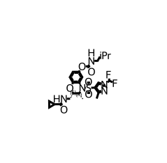 Cc1nn(C(F)F)cc1S(=O)(=O)N1c2cc(OC(=O)NCC(C)C)ccc2O[C@@H](CNC(=O)C2CC2)[C@H]1C